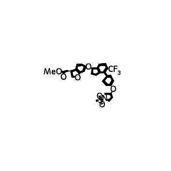 COC(=O)C[C@@H]1COc2cc(O[C@@H]3CCc4c3ccc(C(F)(F)F)c4-c3ccc(O[C@H]4CCN(S(C)(=O)=O)C4)cc3)ccc21